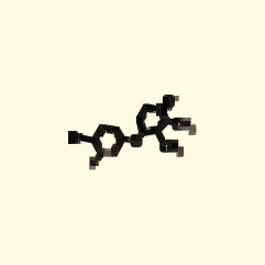 Cc1c(Oc2ccc(Br)c(F)c2)cc[n+]([O-])c1C